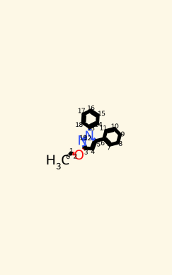 CCOc1cc(C2=CCCC=C2)n(-c2ccccc2)n1